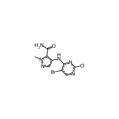 Cn1ncc(Nc2nc(Cl)ncc2Br)c1C(N)=O